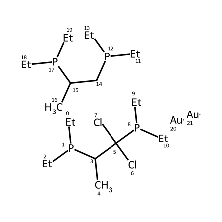 CCP(CC)C(C)C(Cl)(Cl)P(CC)CC.CCP(CC)CC(C)P(CC)CC.[Au].[Au]